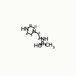 CB(O)NCCN1CCNCC1